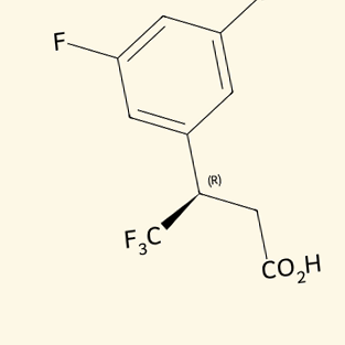 O=C(O)C[C@H](c1cc(F)cc(F)c1)C(F)(F)F